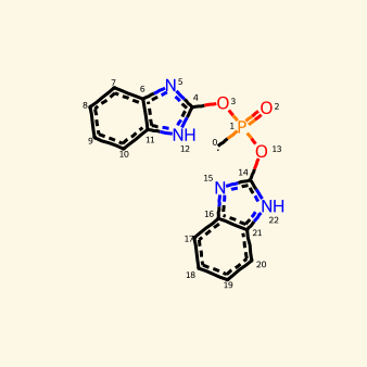 [CH2]P(=O)(Oc1nc2ccccc2[nH]1)Oc1nc2ccccc2[nH]1